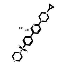 Cl.Cl.O=S(=O)(c1ccc(-c2ccc(N3CCN(C4CC4)CC3)nc2)cc1)N1CCOCC1